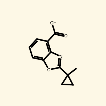 CC1(c2nc3c(C(=O)O)cccc3o2)CC1